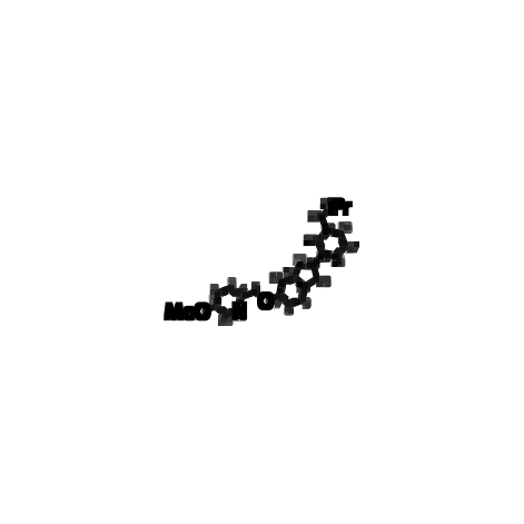 COc1ccc(COc2ccc3c(c2)C=C(c2cccc(CC(C)C)c2)C3)nc1